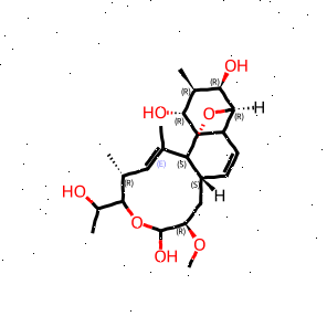 CO[C@@H]1C[C@H]2C=CC3C4[C@H](O)[C@@H](C)[C@@H](O)[C@@H]3O[C@]42/C(C)=C/[C@@H](C)C(C(C)O)OC1O